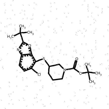 CC(C)(C)OC(=O)N1CCCC(Sc2c(Cl)ccc3nc(C(C)(C)C)oc23)C1